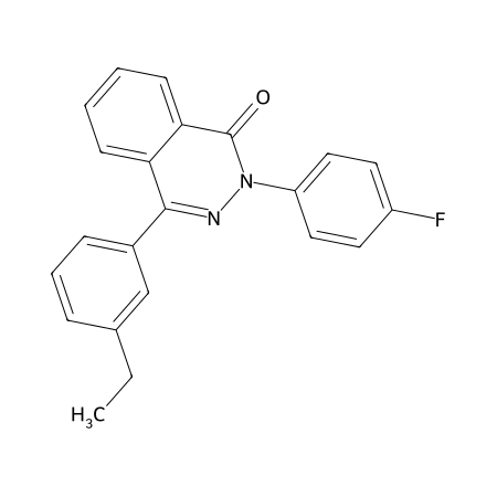 CCc1cccc(-c2nn(-c3ccc(F)cc3)c(=O)c3ccccc23)c1